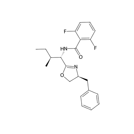 CC[C@H](C)[C@H](NC(=O)c1c(F)cccc1F)C1=N[C@@H](Cc2ccccc2)CO1